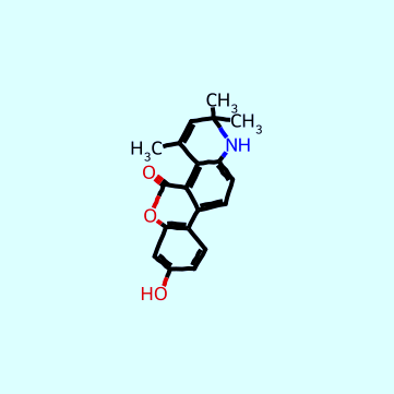 CC1=CC(C)(C)Nc2ccc3c(c21)c(=O)oc1cc(O)ccc13